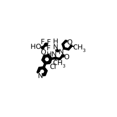 C[C@H]1C[C@@H](N2C(=N)N[C@](C)(c3cccc(-c4ccncc4)c3Cl)CC2=O)CCO1.O=C(O)C(F)(F)F